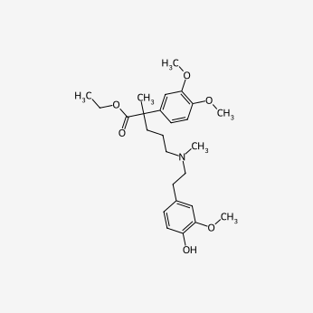 CCOC(=O)C(C)(CCCN(C)CCc1ccc(O)c(OC)c1)c1ccc(OC)c(OC)c1